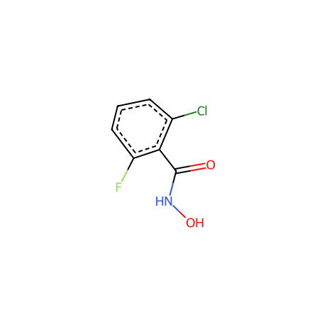 O=C(NO)c1c(F)cccc1Cl